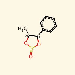 C[C@H]1OS(=O)O[C@@H]1c1ccccc1